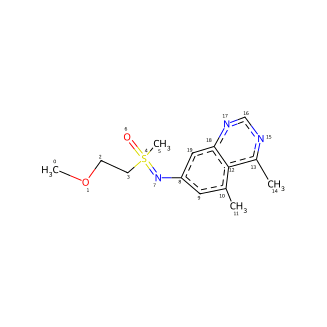 COCCS(C)(=O)=Nc1cc(C)c2c(C)ncnc2c1